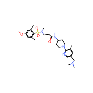 COc1cc(C)c(S(=O)(=O)N(C)CCC(=O)NC2CCN(c3ncc(CN(C)C)cc3C)CC2)c(C)c1